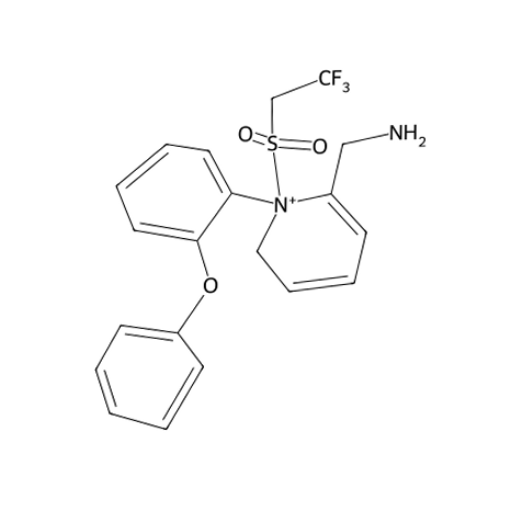 NCC1=CC=CC[N+]1(c1ccccc1Oc1ccccc1)S(=O)(=O)CC(F)(F)F